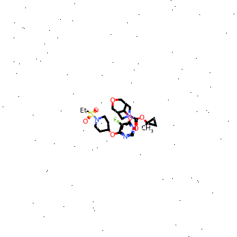 CCS(=O)(=O)N1CCC(Oc2ncnc(OC3C4COCC3CN(C(=O)OC3(C)CC3)C4)c2F)CC1